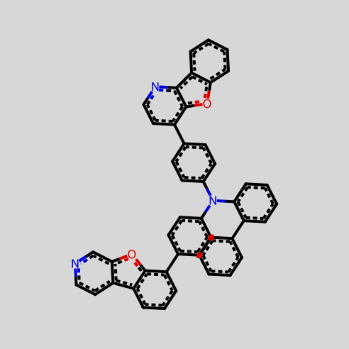 c1ccc(-c2ccccc2N(c2ccc(-c3cccc4c3oc3cnccc34)cc2)c2ccc(-c3ccnc4c3oc3ccccc34)cc2)cc1